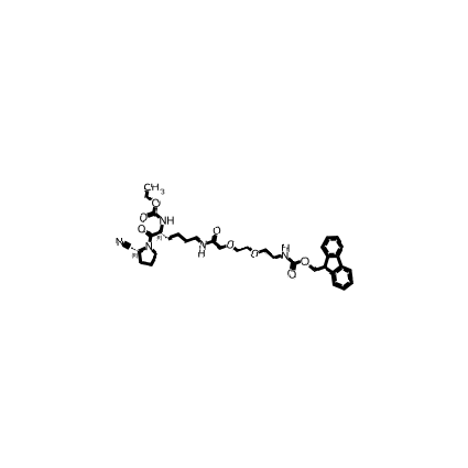 CCOC(=O)N[C@H](CCCCNC(=O)COCCOCCNC(=O)OCC1c2ccccc2-c2ccccc21)C(=O)N1CCC[C@@H]1C#N